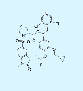 CN1C(=O)Cc2cc(S(=O)(=O)N3CSCC3C(=O)OC(Cc3c(Cl)cncc3Cl)c3ccc(OC(F)F)c(OCC4CC4)c3)ccc21